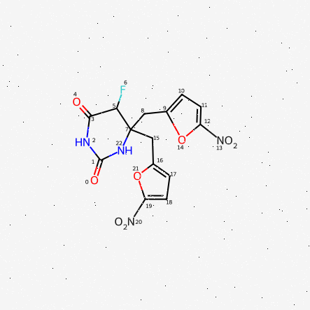 O=C1NC(=O)C(F)C(Cc2ccc([N+](=O)[O-])o2)(Cc2ccc([N+](=O)[O-])o2)N1